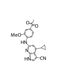 COc1cc(S(C)(=O)=O)ccc1Nc1cc(C2CC2)c2c(C#N)c[nH]c2n1